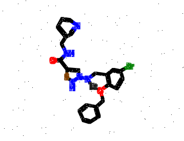 CCN(Cc1cc(Br)ccc1OCc1ccccc1)N1C=C(C(=O)NCc2cccnc2)SN1